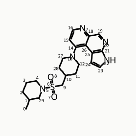 CC1CCCN(S(=O)(=O)CC2CCN(c3ccnc4cnc5[nH]ccc5c34)CC2)C1